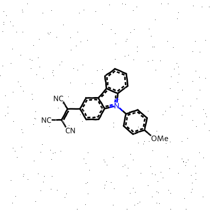 COc1ccc(-n2c3ccccc3c3cc(C(C#N)=C(C#N)C#N)ccc32)cc1